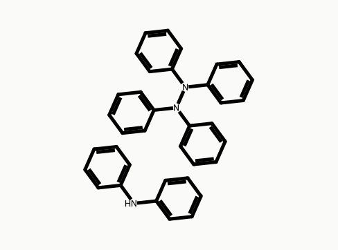 c1ccc(N(c2ccccc2)N(c2ccccc2)c2ccccc2)cc1.c1ccc(Nc2ccccc2)cc1